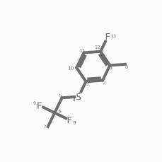 Cc1cc(SCC(C)(F)F)ccc1F